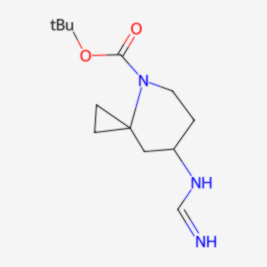 CC(C)(C)OC(=O)N1CCC(NC=N)CC12CC2